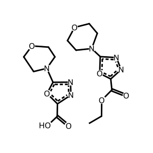 CCOC(=O)c1nnc(N2CCOCC2)o1.O=C(O)c1nnc(N2CCOCC2)o1